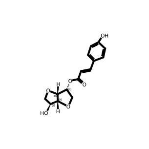 O=C(C=Cc1ccc(O)cc1)O[C@@H]1CO[C@H]2[C@@H]1OC[C@@H]2O